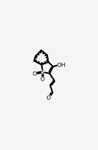 O=C/C=C/C1=C(O)c2ccccc2S1(=O)=O